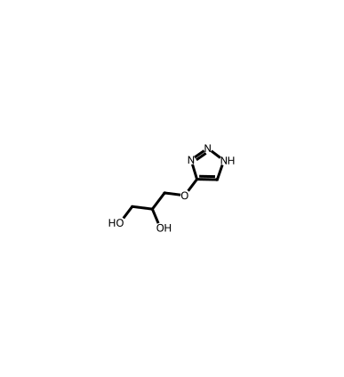 OCC(O)COc1c[nH]nn1